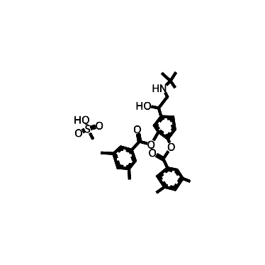 CS(=O)(=O)O.Cc1cc(C)cc(C(=O)Oc2ccc(C(O)CNC(C)(C)C)cc2OC(=O)c2cc(C)cc(C)c2)c1